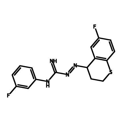 N=C(N=NC1CCSc2ccc(F)cc21)Nc1cccc(F)c1